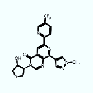 Cn1cc(-c2nc(-c3ccc(C(F)(F)F)cn3)cc3c(=O)n([C@H]4COC[C@H]4O)cnc23)cn1